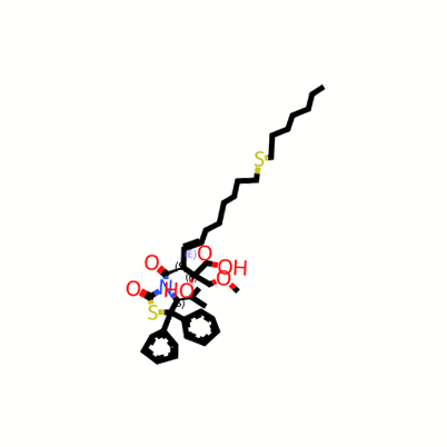 CCCCCCCSCCCCCC/C=C/[C@H](C(=O)N1C(=O)SC(c2ccccc2)(c2ccccc2)[C@@H]1C(C)C)[C@@](O)(COC)C(=O)O